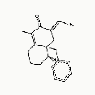 CCC(C)C=C1C[C@@]2(Cc3ccccc3)C(=C(C)C1=O)CCC[C@@H]2O